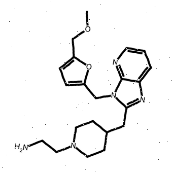 COCc1ccc(Cn2c(CC3CCN(CCN)CC3)nc3cccnc32)o1